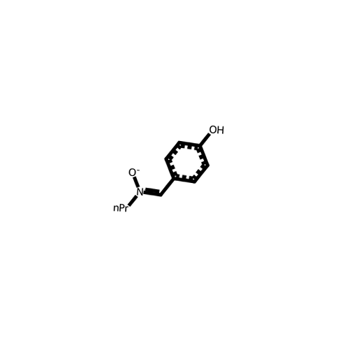 CCC[N+]([O-])=Cc1ccc(O)cc1